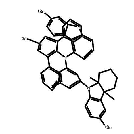 Cc1cc(N(c2c(-c3ccccc3)cc(C(C)(C)C)cc2-c2ccccc2)c2cccc3sc4cc(C(C)(C)C)ccc4c23)cc(N2c3ccc(C(C)(C)C)cc3C3(C)CCCCC23C)c1